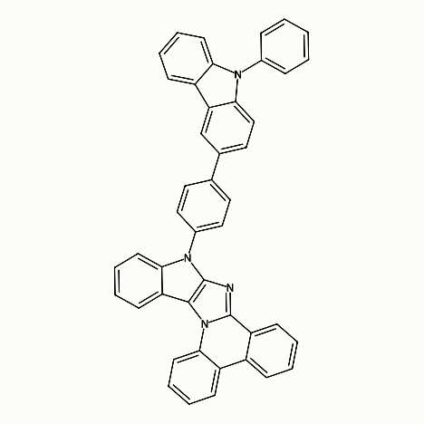 c1ccc(-n2c3ccccc3c3cc(-c4ccc(-n5c6ccccc6c6c5nc5c7ccccc7c7ccccc7n56)cc4)ccc32)cc1